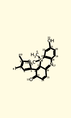 C[Si]1(C)C2=C(c3cc(I)c(I)s3)C(=O)C=CC2=Nc2ccc(O)cc21